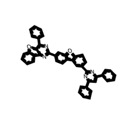 c1ccc(-c2cc(-c3ccccc3)nc(-c3ccc4oc5cc(-c6nc(-c7ccccc7)c7oc8ccccc8c7n6)ccc5c4c3)n2)cc1